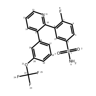 NS(=O)(=O)c1ccc(F)c(-c2ncccc2-c2cccc(OC(F)(F)F)c2)c1